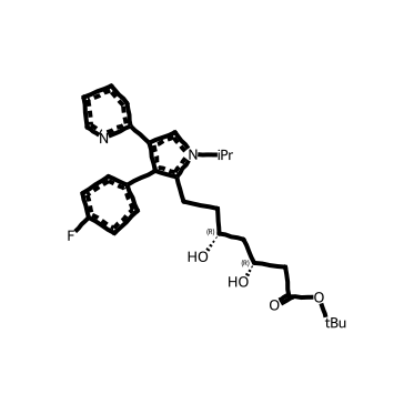 CC(C)n1cc(-c2ccccn2)c(-c2ccc(F)cc2)c1CC[C@@H](O)C[C@@H](O)CC(=O)OC(C)(C)C